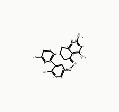 CO/N=C1\C[C@H](c2ccc(F)cc2-c2cccnc2F)Cc2nc(N)nc(C)c21